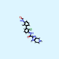 Cc1c(NC=O)cccc1-c1cccc(NC(=O)c2nc3c(n2C)CCN(C)C3)c1Cl